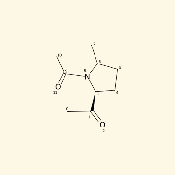 CC(=O)[C@@H]1CCC(C)N1C(C)=O